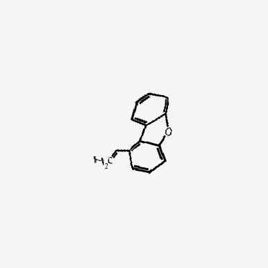 C=Cc1cccc2oc3ccccc3c12